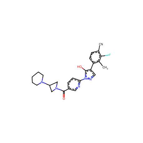 Cc1c(-c2cnn(-c3ccc(C(=O)N4CC(N5CCCCC5)C4)cn3)c2O)ccc(C#N)c1F